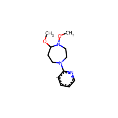 COC1CCN(c2[c]cccn2)CCN1OC